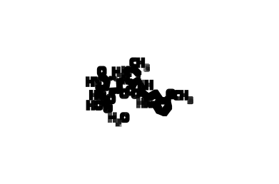 COc1cccc2[nH]c(C(=O)N[C@@H](CC(C)C)C(=O)N[C@@H](C[C@@H]3CCNC3=O)C(=O)COP(=O)(O)O)cc12.O